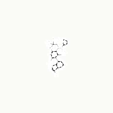 CN(c1ccco1)[C@H]1c2c(cc(F)c(-c3cccc4c(Cl)c[nH]c34)c2F)NC(C)(C)[C@@H]1O